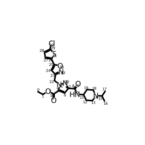 CCOC(=O)c1cc(C(=O)NC2CCN(C(C)C)CC2)nn1Cc1cc(-c2ccc(Cl)s2)on1